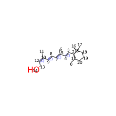 CC1=C(/C=C/C(C)=C/C=C/C(C)=C\CO)C(C)(C)CCC1